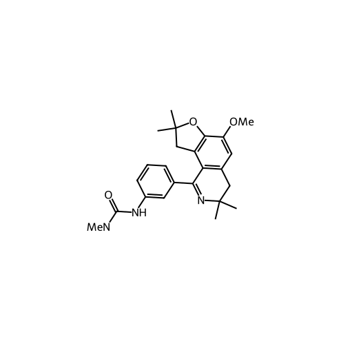 CNC(=O)Nc1cccc(C2=NC(C)(C)Cc3cc(OC)c4c(c32)CC(C)(C)O4)c1